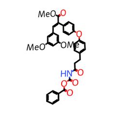 COC(=O)/C(=C/c1cc(OC)cc(OC)c1)c1ccc(Oc2ccc(CCC(=O)NC(=O)OC(=O)c3ccccc3)cc2)cc1